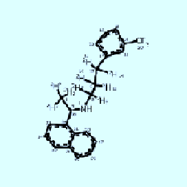 [2H]C([2H])([2H])[C@@H](NC([2H])([2H])C([2H])([2H])C([2H])([2H])c1cccc(C(F)(F)F)c1)c1cccc2ccccc12